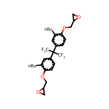 CCCCc1cc(C(c2ccc(OCC3CO3)c(CCCC)c2)(C(F)(F)F)C(F)(F)F)ccc1OCC1CO1